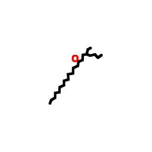 CCCCCCCCCCCCCC(=O)CCC(CC)CCCC